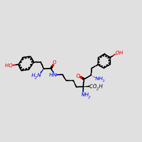 N[C@@H](Cc1ccc(O)cc1)C(=O)NCCCC[C@](N)(C(=O)O)C(=O)[C@@H](N)Cc1ccc(O)cc1